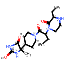 CC(C)CC1NCCN(C(CC(C)C)C(=O)N2CCC(C3(C)NC(=O)NC3=O)CC2)C1=O